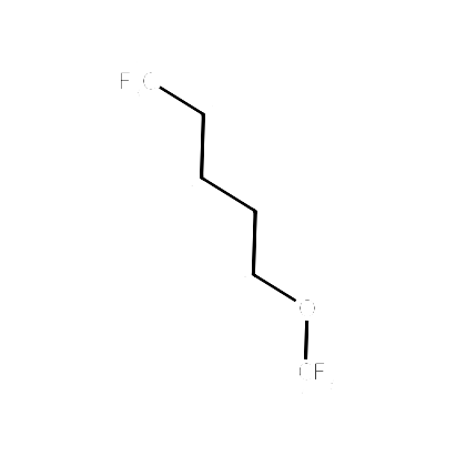 FC(F)(F)CCCCOC(F)(F)F